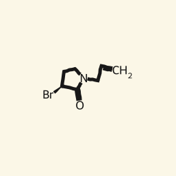 C=CCN1CC[C@H](Br)C1=O